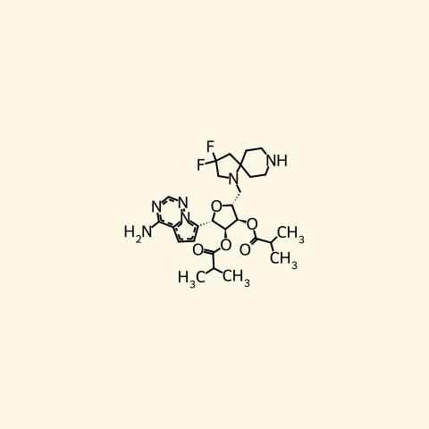 CC(C)C(=O)O[C@@H]1[C@H](OC(=O)C(C)C)[C@@H](CN2CC(F)(F)CC23CCNCC3)O[C@H]1c1ccc2c(N)ncnn12